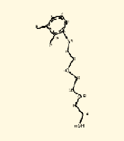 Cc1cccc(SCCOCCOCCS)c1C